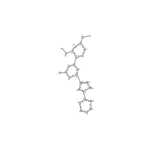 COc1ccc(-c2cc(F)cc(-n3nnc(-c4ccccn4)n3)c2)c(OC)c1